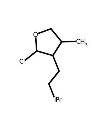 CC(C)CCC1C(C)COC1Cl